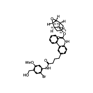 COc1cc(NC(=O)CCCc2ccc(NC(=O)O[C@H]3C[C@H]4[C@@H]5O[C@@H]5[C@H](C3)N4C)c(-c3ccccc3)c2)c(Br)cc1CO